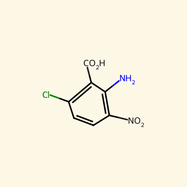 Nc1c([N+](=O)[O-])ccc(Cl)c1C(=O)O